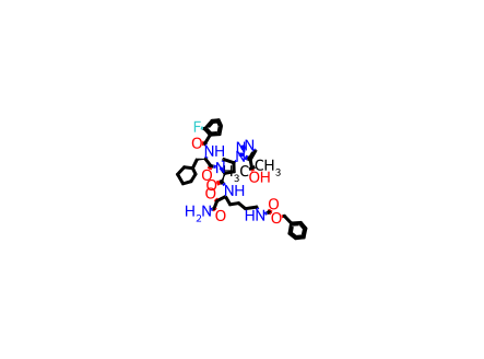 CC(C)(O)c1cnnn1[C@H]1C[C@@H](C(=O)NC(CCCCNC(=O)OCc2ccccc2)C(=O)C(N)=O)N(C(=O)[C@@H](CC2CCCCC2)NC(=O)c2ccccc2F)C1